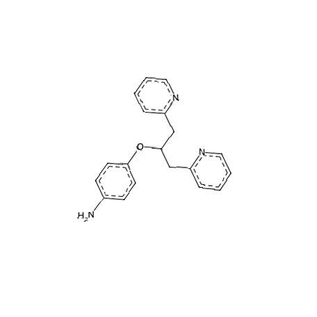 Nc1ccc(OC(Cc2ccccn2)Cc2ccccn2)cc1